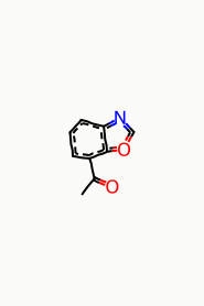 CC(=O)c1cccc2ncoc12